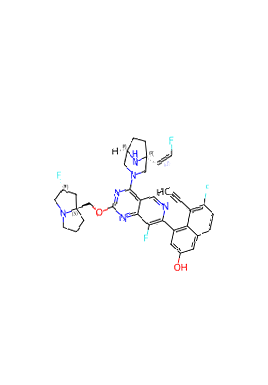 C#Cc1c(F)ccc2cc(O)cc(-c3ncc4c(N5C[C@H]6CC[C@@](/C=C\F)(C5)N6)nc(OC[C@@]56CCCN5C[C@H](F)C6)nc4c3F)c12